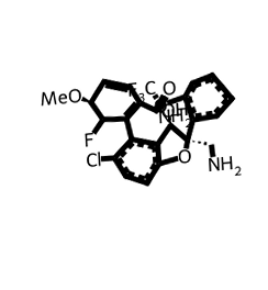 CO[C@H]1C=CC(C(N)=O)=C(c2c(Cl)ccc3c2[C@H](O)[C@@](CN)(c2ccccc2OC(F)(F)F)O3)C1F